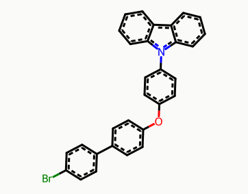 Brc1ccc(-c2ccc(Oc3ccc(-n4c5ccccc5c5ccccc54)cc3)cc2)cc1